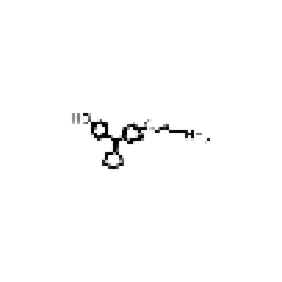 NCCCCOc1ccc(C(=C2CCCCC2)c2ccc(O)cc2)cc1